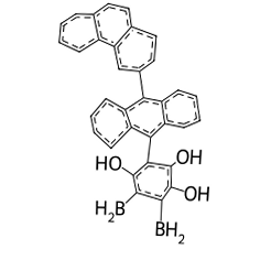 Bc1c(B)c(O)c(-c2c3ccccc3c(-c3ccc4ccc5ccccc5c4c3)c3ccccc23)c(O)c1O